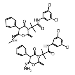 C=C1OC(=NN)C(c2ccccc2)C(=O)N1C(C)(C)C(=O)Nc1cc(Cl)cc(Cl)c1.C=C1OC(=NNC)C(c2ccccc2)C(=O)N1C(C)(C)C(=O)Nc1cc(Cl)cc(Cl)c1